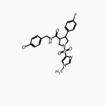 Cn1cnc(S(=O)(=O)N2CC(C(=O)NCc3ccc(Cl)cc3)C(c3ccc(F)cc3)C2)c1